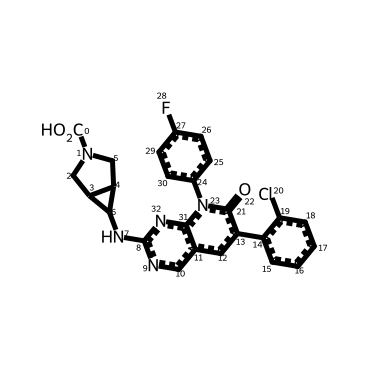 O=C(O)N1CC2C(C1)C2Nc1ncc2cc(-c3ccccc3Cl)c(=O)n(-c3ccc(F)cc3)c2n1